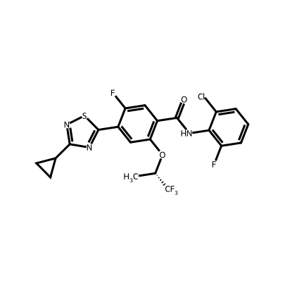 C[C@H](Oc1cc(-c2nc(C3CC3)ns2)c(F)cc1C(=O)Nc1c(F)cccc1Cl)C(F)(F)F